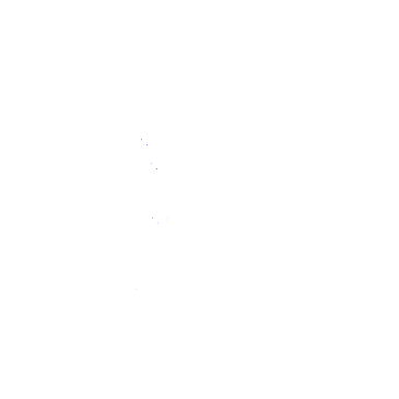 COc1ccccc1-c1ccc(C[C@H](CC(=O)O)NC(=O)c2cc(C(=O)O)n[nH]2)cc1